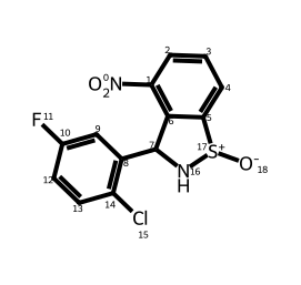 O=[N+]([O-])c1cccc2c1C(c1cc(F)ccc1Cl)N[S+]2[O-]